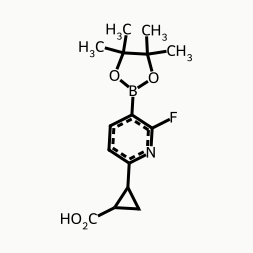 CC1(C)OB(c2ccc(C3CC3C(=O)O)nc2F)OC1(C)C